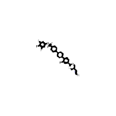 CC/C=C/C1COC(c2ccc(C3CCC(C4CCC(C(F)(F)Oc5cc(F)c(F)c(F)c5)CC4)CC3)c(F)c2)OC1